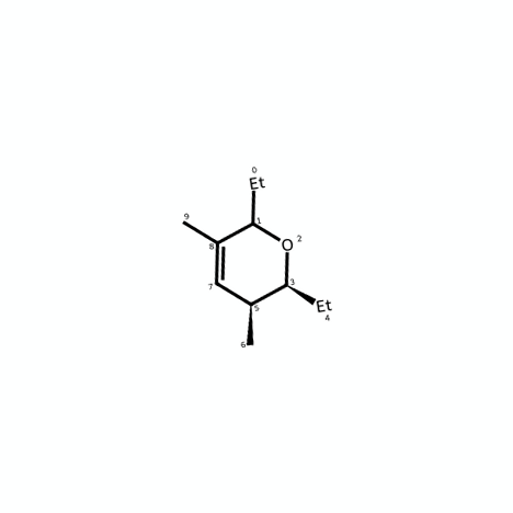 CCC1O[C@@H](CC)[C@@H](C)C=C1C